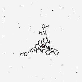 CC1(Cl)C(c2ccccc2)=CC=CC1(NC(=O)c1ccc(CNCCO)cn1)c1nc2c(Cl)cc(CNCCO)cn2n1